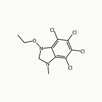 CCON1CN(C)c2c(Cl)c(Cl)c(Cl)c(Cl)c21